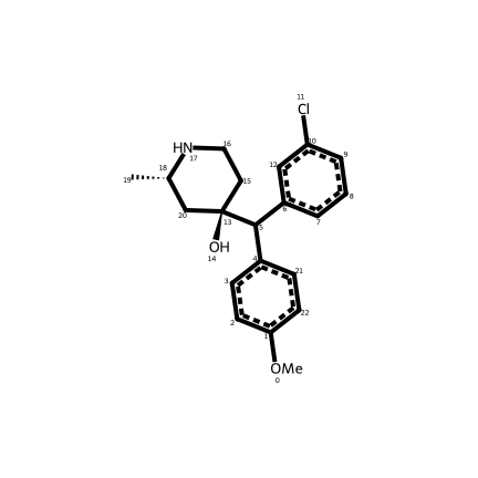 COc1ccc(C(c2cccc(Cl)c2)[C@@]2(O)CCN[C@@H](C)C2)cc1